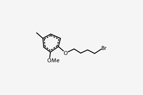 COc1cc(C)ccc1OCCCCBr